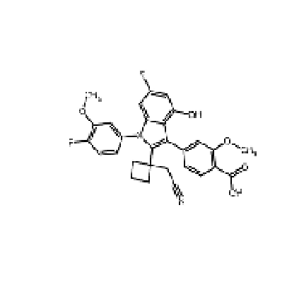 COc1cc(-n2c(C3(CC#N)CCC3)c(-c3ccc(C(=O)O)c(OC)c3)c3c(O)cc(F)cc32)ccc1F